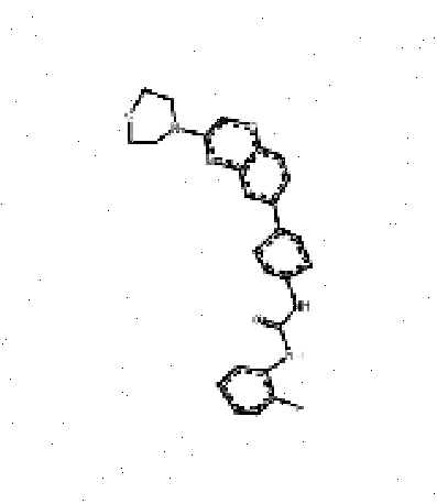 O=C(Nc1ccc(-c2ccc3ncc(N4CCOCC4)nc3c2)cc1)Nc1ccccc1F